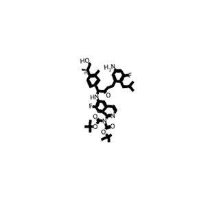 Cc1cc(C(Nc2cc3ccnc(N(C(=O)OC(C)(C)C)C(=O)OC(C)(C)C)c3cc2F)C(=O)CCc2cc(N)cc(F)c2CC(C)C)ccc1[C@@H](C)CO